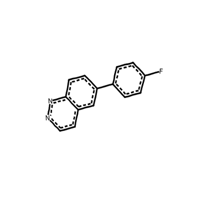 Fc1ccc(-c2ccc3nnccc3c2)cc1